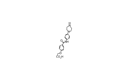 O=C(O)COc1ccc(C(=O)Nc2ccc(N3CCNCC3)cc2)cc1